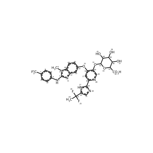 Cn1c(Nc2ccc(C(F)(F)F)cc2)nc2cc(Oc3cc(-c4ncc(C(C)(F)F)[nH]4)ncc3OC3OC(C(=O)O)C(O)C(O)C3O)ccc21